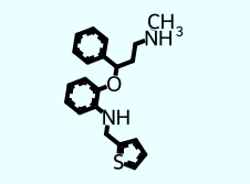 CNCCC(Oc1ccccc1NCc1cccs1)c1ccccc1